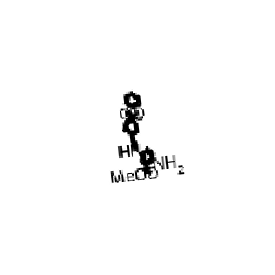 COC(=O)c1cc(NCCc2ccc(S(=O)(=O)c3ccccc3)cc2)ccc1N